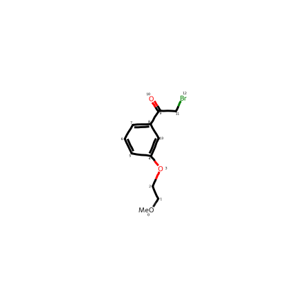 COCCOc1cccc(C(=O)CBr)c1